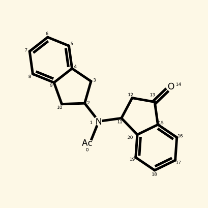 CC(=O)N(C1Cc2ccccc2C1)C1CC(=O)c2ccccc21